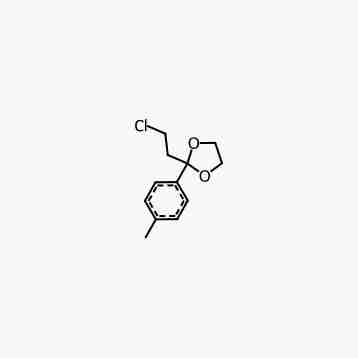 Cc1ccc(C2(CCCl)OCCO2)cc1